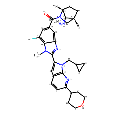 Cn1c(-c2cc3ccc(C4CCOCC4)nc3n2CC2CC2)nc2cc(C(=O)N3C[C@H]4CC[C@@H]3[C@@H]4N)cc(F)c21